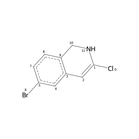 ClC1=Cc2cc(Br)ccc2CN1